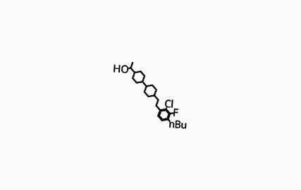 CCCCc1ccc(CCC2CCC(C3CCC(C(C)O)CC3)CC2)c(Cl)c1F